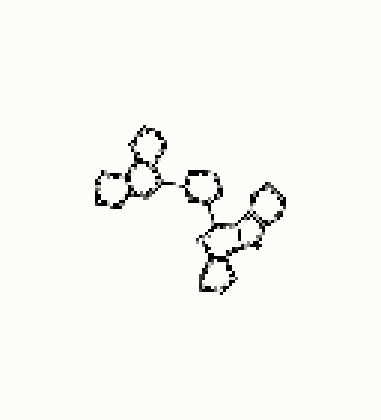 c1cc(-c2oc3ccccc3c3nc4ccccc4c2-3)cc(-c2cc3ccccc3c3ccccc23)c1